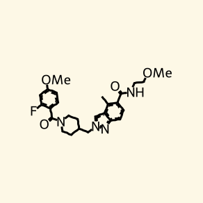 COCCNC(=O)c1ccc2nn(CC3CCN(C(=O)c4ccc(OC)cc4F)CC3)cc2c1C